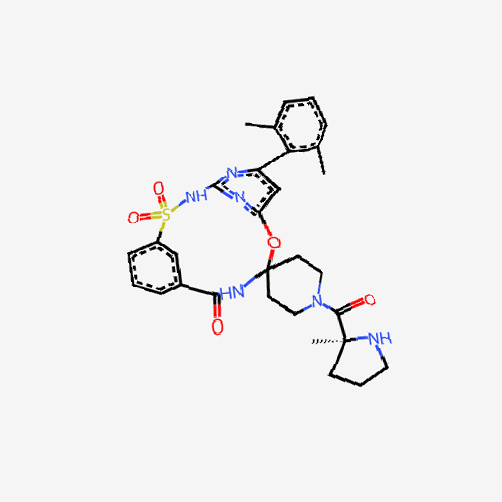 Cc1cccc(C)c1-c1cc2nc(n1)NS(=O)(=O)c1cccc(c1)C(=O)NC1(CCN(C(=O)[C@]3(C)CCCN3)CC1)O2